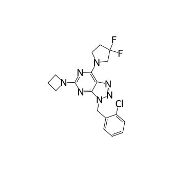 FC1(F)CCN(c2nc(N3CCC3)nc3c2nnn3Cc2ccccc2Cl)C1